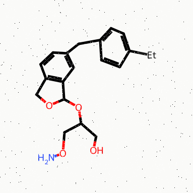 CCc1ccc(Cc2ccc3c(c2)C(OC(CO)CON)OC3)cc1